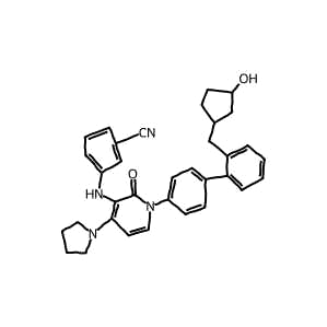 N#Cc1cccc(Nc2c(N3CCCC3)ccn(-c3ccc(-c4ccccc4CC4CCC(O)C4)cc3)c2=O)c1